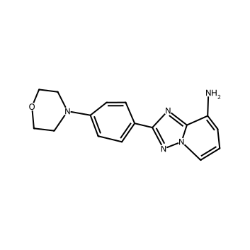 Nc1cccn2nc(-c3ccc(N4CCOCC4)cc3)nc12